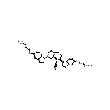 COCCOc1ccc2c(c1)CCN2C1=CC2=C(C#N)/C(=[N+]3\CCc4cc(OCCOC)ccc43)CCC2CC1